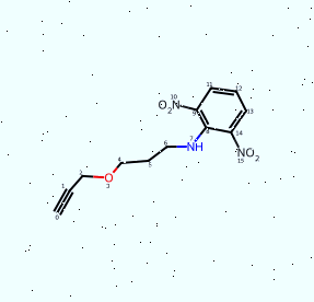 C#CCOCCCNc1c([N+](=O)[O-])cccc1[N+](=O)[O-]